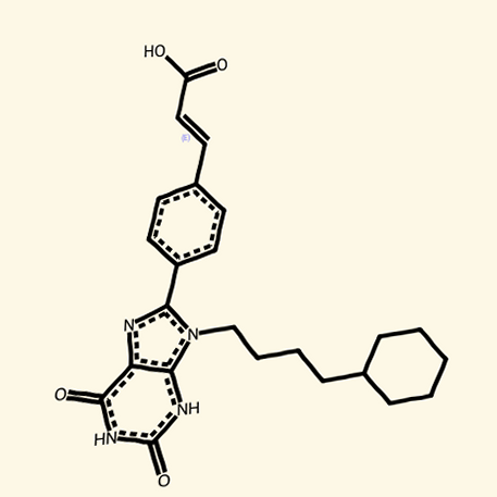 O=C(O)/C=C/c1ccc(-c2nc3c(=O)[nH]c(=O)[nH]c3n2CCCCC2CCCCC2)cc1